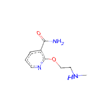 CNCCOc1ncccc1C(N)=O